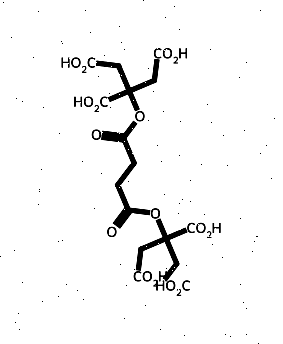 O=C(O)CC(CC(=O)O)(OC(=O)CCC(=O)OC(CC(=O)O)(CC(=O)O)C(=O)O)C(=O)O